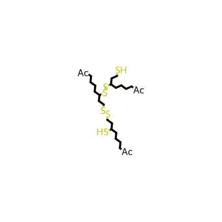 CC(=O)CCCCC(S)CCSSCCC(CCCCC(C)=O)SSC(CCS)CCCCC(C)=O